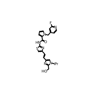 CC(C)n1cc(C=Cc2csc(NC(=O)c3cccn3Cc3ccnc(F)c3)n2)nc1CO